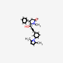 Cc1ccc(C)n1-c1cccc(C#CC(O)[C@H]2[C@@H](c3ccccc3)CC(=O)N2C)c1